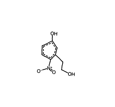 O=[N+]([O-])c1ccc(O)cc1CCO